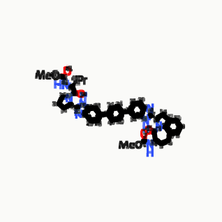 COC(=O)N[C@H]1CCc2cccc3c2N(C1=O)[C@H](c1nc2ccc(-c4ccc(-c5ccc6nc([C@@H]7CCCN7C(=O)[C@@H](NC(=O)OC)C(C)C)[nH]c6c5)cc4)cc2[nH]1)C3